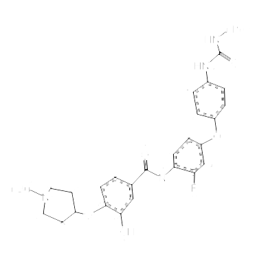 CCCCCNC(=O)Nc1ccc(Oc2ccc(NC(=O)c3ccc(OC4CCN(CCCC)CC4)c(C)c3)c(F)c2)cc1